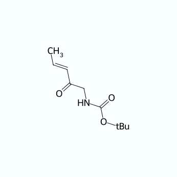 CC=CC(=O)CNC(=O)OC(C)(C)C